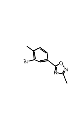 Cc1noc(-c2ccc(C)c(Br)c2)n1